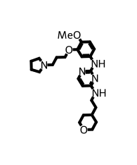 COc1ccc(Nc2nccc(NCCC3CCOCC3)n2)cc1OCCCN1CCCC1